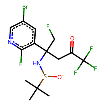 CC(C)(C)[S+]([O-])NC(CF)(CC(=O)C(F)(F)F)c1cc(Br)cnc1F